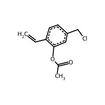 C=Cc1ccc(CCl)cc1OC(C)=O